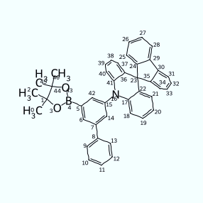 CC1(C)OB(c2cc(-c3ccccc3)cc(N3c4ccccc4C4(c5ccccc5-c5ccccc54)c4ccccc43)c2)OC1(C)C